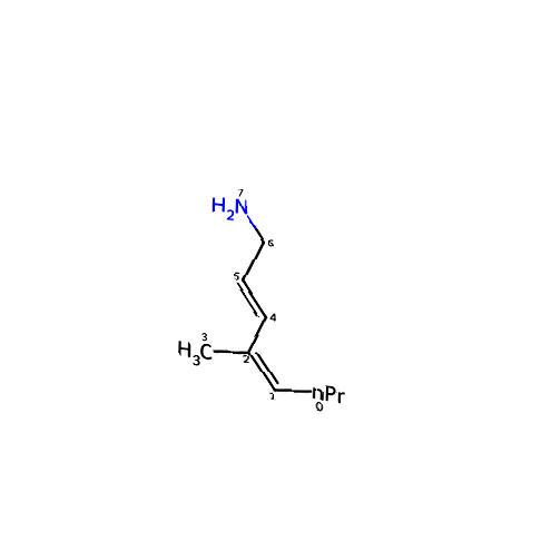 CCCC=C(C)C=CCN